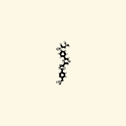 CNCc1ccc(-c2nnc(-c3cncc(-c4ccc([S+]([O-])C(C)CN(C)C)cc4)n3)o2)cc1